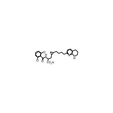 O=C(NC(CC1CC1CCCCc1ccc2c(n1)NCCC2)C(=O)O)c1c(Cl)cccc1Cl